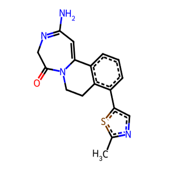 Cc1ncc(-c2cccc3c2CCN2C(=O)CN=C(N)C=C32)s1